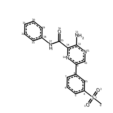 CS(=O)(=O)c1cccc(-c2cnc(N)c(C(=O)Nc3ccccc3)n2)c1